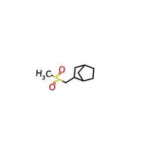 CS(=O)(=O)CC1CC2CCC1C2